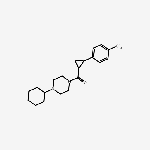 O=C(C1CC1c1ccc(C(F)(F)F)cc1)N1CCN(C2CCCCC2)CC1